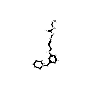 CCNC(=O)NCC=CCOc1cccc(CN2CCCCC2)c1